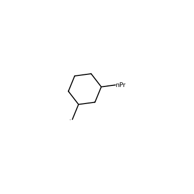 [CH2]C1CCCC(CCC)C1